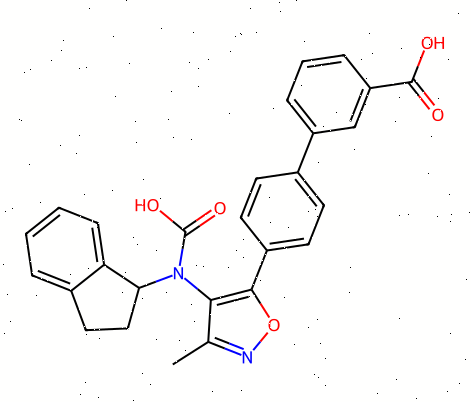 Cc1noc(-c2ccc(-c3cccc(C(=O)O)c3)cc2)c1N(C(=O)O)C1CCc2ccccc21